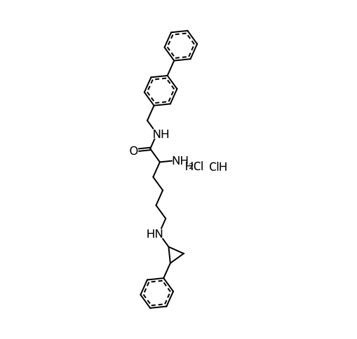 Cl.Cl.NC(CCCCNC1CC1c1ccccc1)C(=O)NCc1ccc(-c2ccccc2)cc1